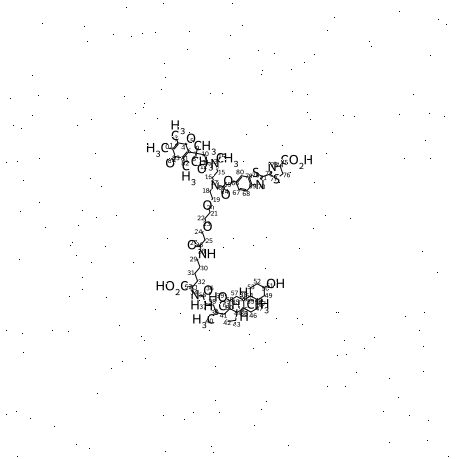 CC1=C(C)C(=O)C(C(C)(C)CC(=O)N(C)CCN(CCOCCOCCC(=O)NCCCCC(NC(=O)CC[C@@H](C)[C@H]2CC[C@H]3[C@@H]4CC[C@@H]5C[C@H](O)CC[C@]5(C)[C@H]4C[C@H](O)[C@]23C)C(=O)O)C(=O)Oc2ccc3nc(C4=NC(C(=O)O)CS4)sc3c2)=C(C)C1=O